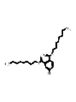 CCCCCCCCOC(=O)c1ccc(Cl)cc1C(=O)OCCCCCCCC